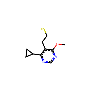 COc1ncnc(C2CC2)c1CCS